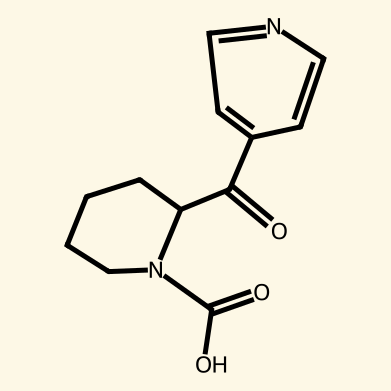 O=C(c1ccncc1)C1CCCCN1C(=O)O